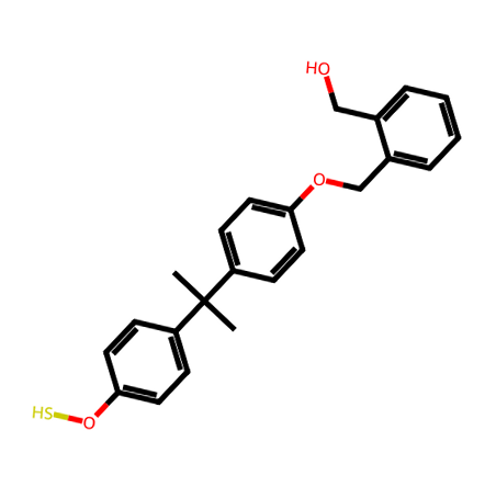 CC(C)(c1ccc(OS)cc1)c1ccc(OCc2ccccc2CO)cc1